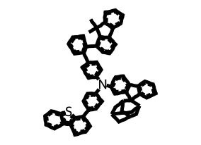 CC1(C)c2ccccc2-c2cccc(-c3ccccc3-c3ccc(N(c4ccc(-c5cccc6c5sc5ccccc56)cc4)c4ccc5c(c4)C4(c6ccccc6-5)C5CC6CC(C5)CC4C6)cc3)c21